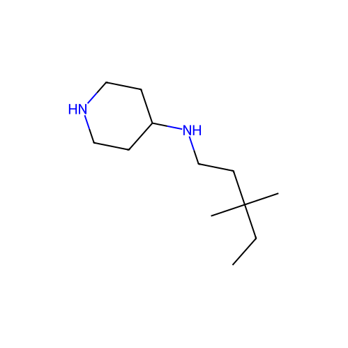 CCC(C)(C)CCNC1CCNCC1